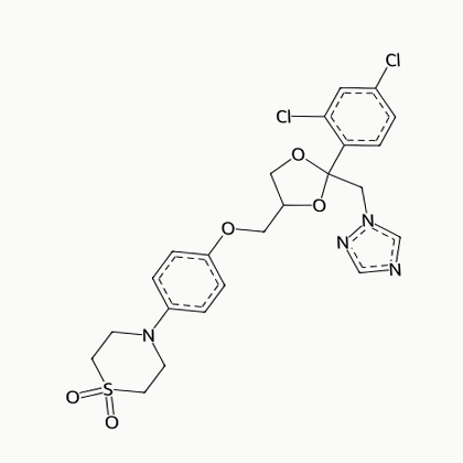 O=S1(=O)CCN(c2ccc(OCC3COC(Cn4cncn4)(c4ccc(Cl)cc4Cl)O3)cc2)CC1